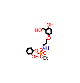 CCOP(=O)(COc1ccccc1O)ONCCCOc1ccc(O)c(CO)c1